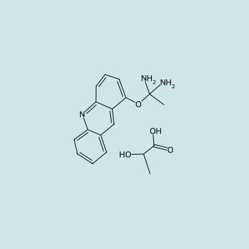 CC(N)(N)Oc1cccc2nc3ccccc3cc12.CC(O)C(=O)O